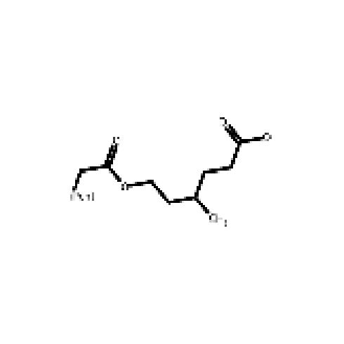 CCCC(C)CC(=O)OCCC(C)CCC([O])=O